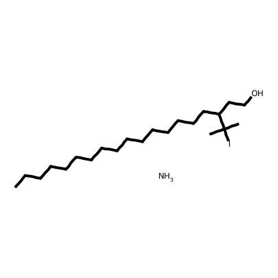 CCCCCCCCCCCCCCCCC(CCO)C(C)(C)I.N